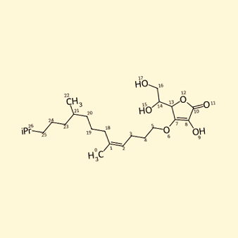 CC(=CCCCOC1=C(O)C(=O)OC1C(O)CO)CCCC(C)CCCC(C)C